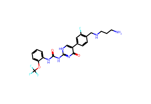 NCCCNCc1ccc(-c2c[nH]c(NC(=O)Nc3ccccc3OC(F)(F)F)nc2=O)cc1F